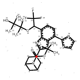 CC(C)(C)OC(=O)N1C2CC1CN(c1nc3c(C(OC(C)(C)C(C)(C)O)C(F)(F)F)ccc(-c4nccs4)c3o1)C2